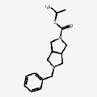 CC(OC(=O)N1CC2CN(Cc3ccccc3)CC2C1)C(F)(F)F